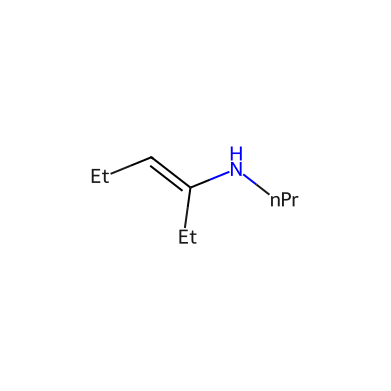 CC/C=C(\CC)NCCC